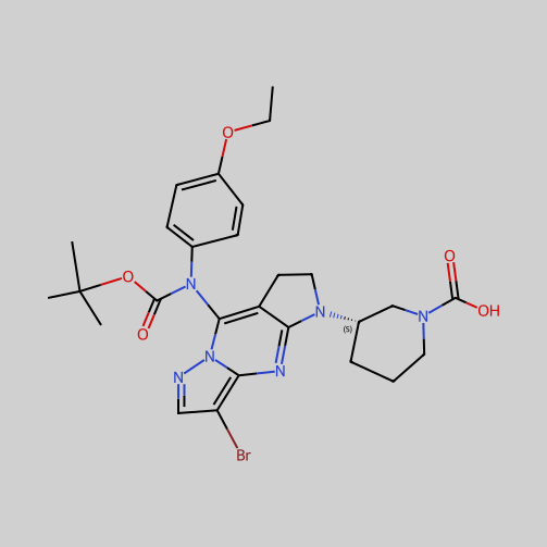 CCOc1ccc(N(C(=O)OC(C)(C)C)c2c3c(nc4c(Br)cnn24)N([C@H]2CCCN(C(=O)O)C2)CC3)cc1